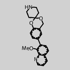 COc1c(-c2ccc3c(c2)COC2(CCNCC2)O3)ccc2cccnc12